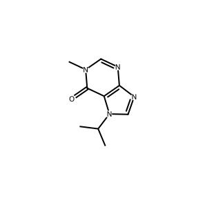 CC(C)n1cnc2ncn(C)c(=O)c21